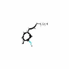 Cc1ccc(C=CCC(=O)O)cc1F